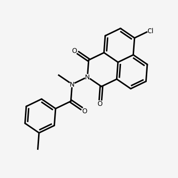 Cc1cccc(C(=O)N(C)N2C(=O)c3cccc4c(Cl)ccc(c34)C2=O)c1